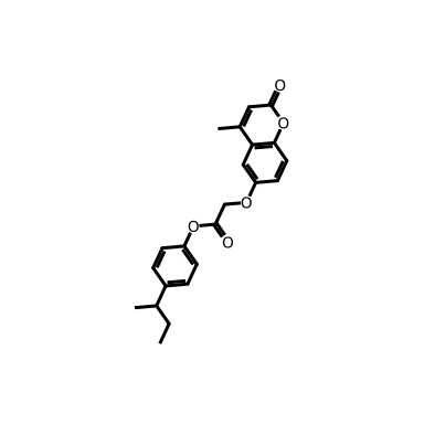 CCC(C)c1ccc(OC(=O)COc2ccc3oc(=O)cc(C)c3c2)cc1